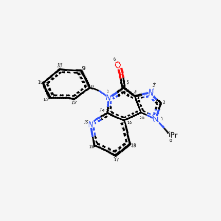 CC(C)n1cnc2c(=O)n(-c3ccccc3)c3ncccc3c21